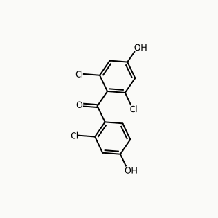 O=C(c1ccc(O)cc1Cl)c1c(Cl)cc(O)cc1Cl